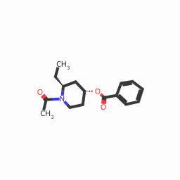 CC[C@H]1C[C@H](OC(=O)c2ccccc2)CCN1C(C)=O